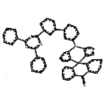 O=C1c2ccccc2C2(c3ccccc31)c1ccccc1N(c1cccc(-c3cccc(-c4nc(-c5ccccc5)nc(-c5ccccc5)n4)c3)c1)c1ccccc12